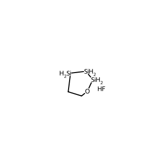 C1C[SiH2][SiH2][SiH2]O1.F